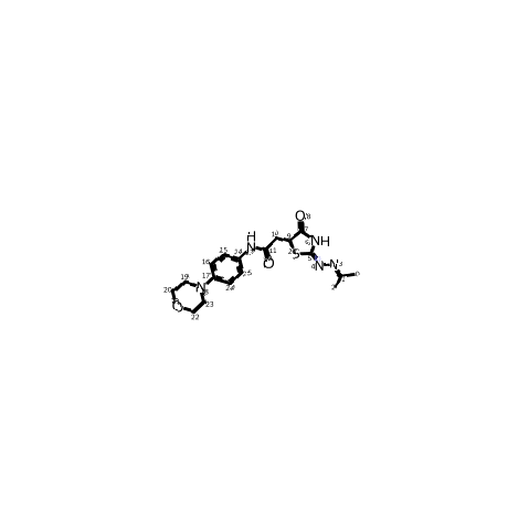 CC(C)=N/N=C1\NC(=O)C(CC(=O)Nc2ccc(N3CCOCC3)cc2)S1